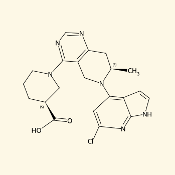 C[C@@H]1Cc2ncnc(N3CCC[C@H](C(=O)O)C3)c2CN1c1cc(Cl)nc2[nH]ccc12